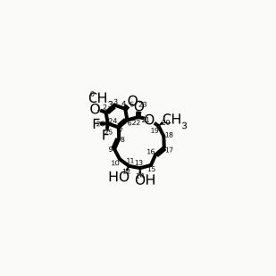 COC1=CC(=O)C2=C(/C=C/C[C@H](O)[C@H](O)C/C=C/C[C@H](C)OC2=O)C1(F)F